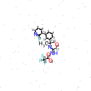 CC1(c2cccc(-c3cccnc3F)c2)COCC(NOC(=O)C(F)(F)F)=N1